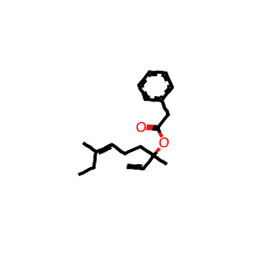 C=CC(C)(CCC=C(C)CC)OC(=O)Cc1ccccc1